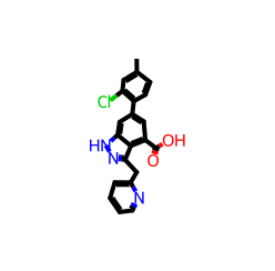 Cc1ccc(-c2cc(C(=O)O)c3c(Cc4ccccn4)n[nH]c3c2)c(Cl)c1